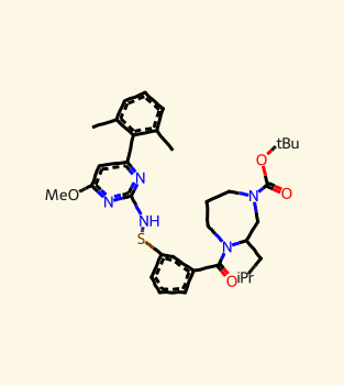 COc1cc(-c2c(C)cccc2C)nc(NSc2cccc(C(=O)N3CCCN(C(=O)OC(C)(C)C)CC3CC(C)C)c2)n1